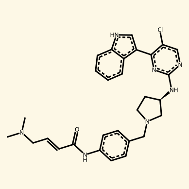 CN(C)C/C=C/C(=O)Nc1ccc(CN2CC[C@@H](Nc3ncc(Cl)c(-c4c[nH]c5ccccc45)n3)C2)cc1